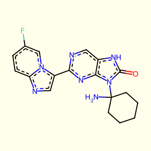 NC1(n2c(=O)[nH]c3cnc(-c4cnc5ccc(F)cn45)nc32)CCCCC1